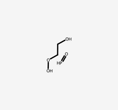 O=P.OCCOO